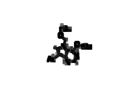 CCCCOCn1cc(C(C)=O)c2ncnc(OC(C)(C)C)c21